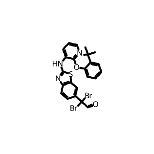 CC(C)(C)c1ccccc1Oc1ncccc1Nc1nc2ccc(C(Br)(Br)C=O)cc2s1